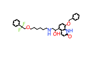 O=c1ccc2c(C(O)CNCCCCCCOCC(F)(F)c3ccccc3)ccc(OCc3ccccc3)c2[nH]1